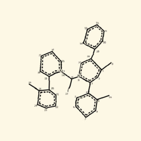 Cc1cc(-c2ccccc2C)[n+](C(I)[n+]2ccccc2-c2ccccc2C)cc1-c1ccccc1